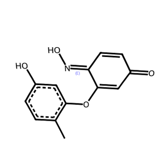 Cc1ccc(O)cc1OC1=CC(=O)C=C/C1=N\O